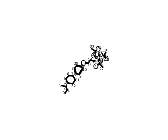 CCC(C)[C@H]1CC[C@H](c2ccc(OCCC[Si](OC(C)=O)(OC(C)=O)OC(C)=O)cc2)CC1